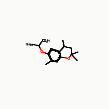 CCCCCCC(Oc1cc2c(cc1C)OC(C)(C)CC2C)C(=O)O